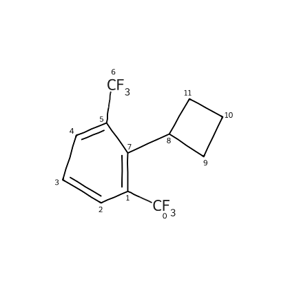 FC(F)(F)c1cccc(C(F)(F)F)c1C1CCC1